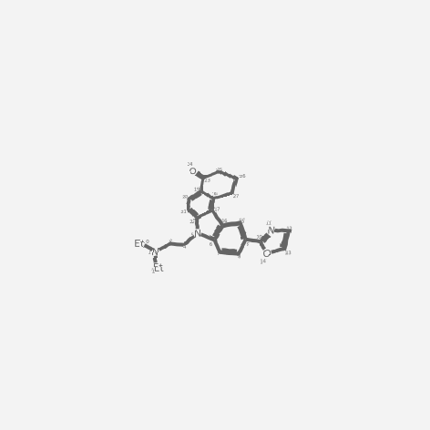 CCN(CC)CCn1c2ccc(-c3ncco3)cc2c2c3c(ccc21)C(=O)CCC3